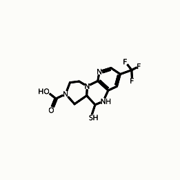 O=C(O)N1CCN2c3ncc(C(F)(F)F)cc3NC(S)C2C1